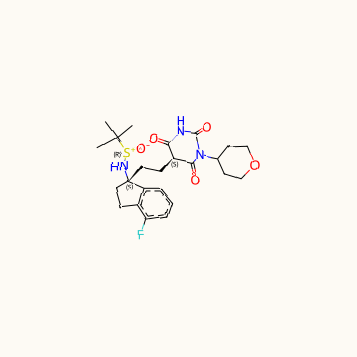 CC(C)(C)[S@+]([O-])N[C@@]1(CC[C@H]2C(=O)NC(=O)N(C3CCOCC3)C2=O)CCc2c(F)cccc21